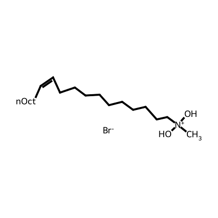 CCCCCCCC/C=C\CCCCCCCCCC[N+](C)(O)O.[Br-]